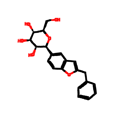 OC[C@H]1O[C@@H](c2ccc3oc(Cc4ccccc4)cc3c2)[C@H](O)[C@@H](O)[C@@H]1O